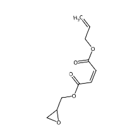 C=CCOC(=O)/C=C\C(=O)OCC1CO1